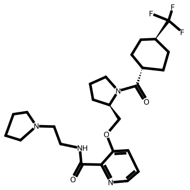 O=C(NCCN1CCCC1)c1ncccc1OC[C@H]1CCCN1C(=O)[C@H]1CC[C@H](C(F)(F)F)CC1